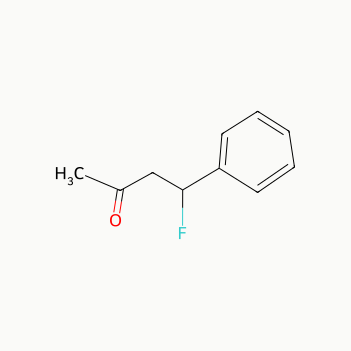 CC(=O)CC(F)c1ccccc1